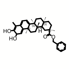 CC1=C(O)C(O)C=C2C1=CC=C1[C@@]2(C)CC[C@@]2(C)[C@@H]3C[C@](C)(C(=O)OCc4ccccc4)CC[C@]3(C)CC[C@]12C